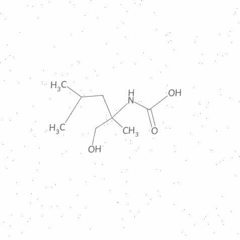 CC(C)CC(C)(CO)NC(=O)O